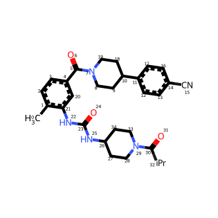 Cc1ccc(C(=O)N2CCC(c3ccc(C#N)cc3)CC2)cc1NC(=O)NC1CCN(C(=O)C(C)C)CC1